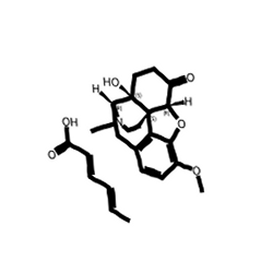 CC=CC=CC(=O)O.COc1ccc2c3c1O[C@H]1C(=O)CC[C@@]4(O)[C@@H](C2)N(C)CC[C@]314